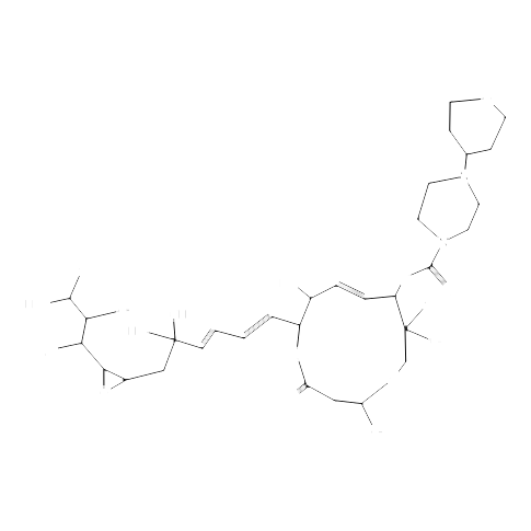 CC(C)C(O)C(C)C1OC1CC(C)(O)/C=C/C=C/C1OC(=O)CC(O)CCC(C)(O)C(OC(=O)N2CCN(C3CCOCC3)CC2)/C=C/C1C